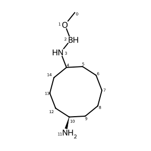 COBNC1CCCCC[C@@H](N)CCC1